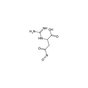 N=C(N)NC(CC(=O)N=O)C(=O)O